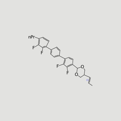 C/C=C/C1COC(c2ccc(-c3ccc(-c4ccc(CCC)c(F)c4F)cc3)c(F)c2F)OC1